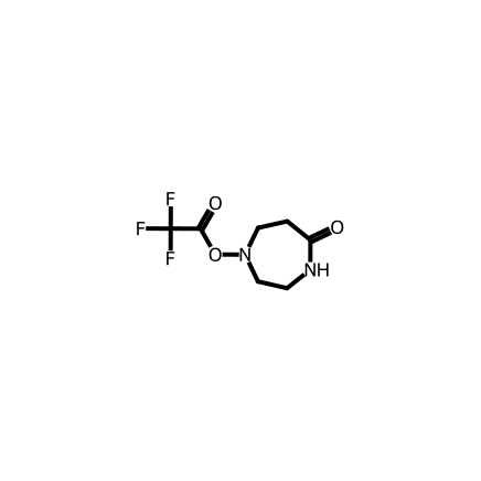 O=C1CCN(OC(=O)C(F)(F)F)CCN1